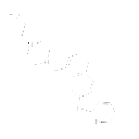 O=C1Nc2ncccc2C1=Cc1cccc(CN2CCN(CCO)CC2)c1